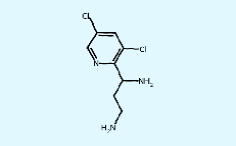 NCCC(N)c1ncc(Cl)cc1Cl